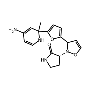 CC1(c2ccc(C3C=CON3[C@@H]3CCNC3=O)o2)C=C(N)C=CN1